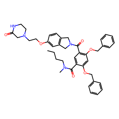 CCCCN(C)C(=O)c1cc(C(=O)N2Cc3ccc(OCCN4CCNC(=O)C4)cc3C2)c(OCc2ccccc2)cc1OCc1ccccc1